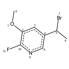 COc1cc(C(C)Br)cnc1F